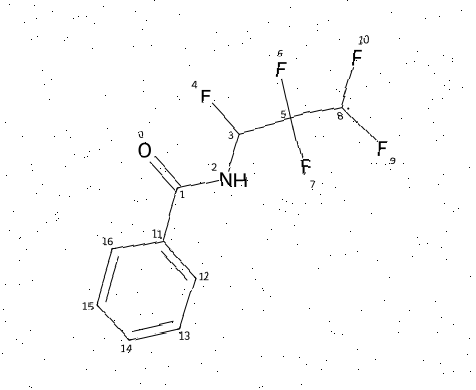 O=C(NC(F)C(F)(F)[C](F)F)c1ccccc1